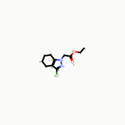 CCOC(=O)Cn1nc(Cl)c2c1CCCC2